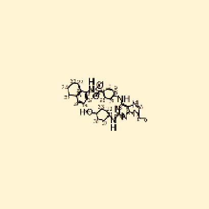 CCn1cnc2c(Nc3ccc(S(=O)(=O)Nc4cccc5c4CCCC5)cc3)nc(NC3CCC(O)CC3)nc21